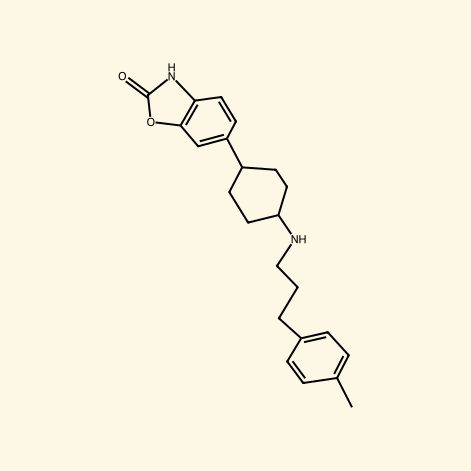 Cc1ccc(CCCNC2CCC(c3ccc4[nH]c(=O)oc4c3)CC2)cc1